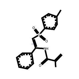 C=C(C)C(=O)N/C(=C\S(=O)(=O)c1ccc(C)cc1)c1ccccc1